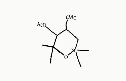 CC(=O)OC1[CH2][Sn]([CH3])([CH3])[O]C(C)(C)C1OC(C)=O